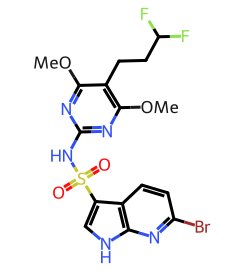 COc1nc(NS(=O)(=O)c2c[nH]c3nc(Br)ccc23)nc(OC)c1CCC(F)F